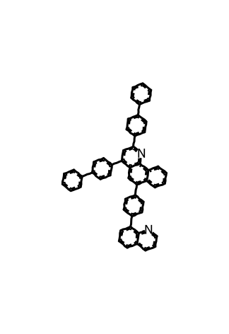 c1ccc(-c2ccc(-c3cc(-c4ccc(-c5ccccc5)cc4)c4cc(-c5ccc(-c6cccc7cccnc67)cc5)c5ccccc5c4n3)cc2)cc1